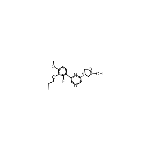 CCCOc1c(OC)ccc(-c2cncc([C@@H]3COB(O)C3)n2)c1F